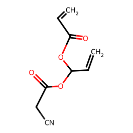 C=CC(=O)OC(C=C)OC(=O)CC#N